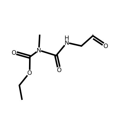 CCOC(=O)N(C)C(=O)NC[C]=O